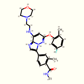 CCNC(=O)c1ccc(-c2cnc3c(NCCN4CCOCC4)cc(Oc4cc(F)ccc4C)nn23)cc1C